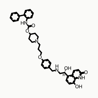 O=C(Nc1ccccc1-c1ccccc1)OC1CCN(CCCOc2ccc(CNC[C@H](O)c3ccc(O)c4[nH]c(=O)ccc34)cc2)CC1